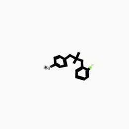 CCC(C)c1ccc(CC(C)(C)Cc2ccccc2F)cc1